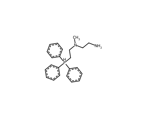 CN(CCN)CC[PH](c1ccccc1)(c1ccccc1)c1ccccc1